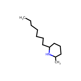 CCCCCCCC1CCCC(C)N1